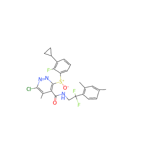 Cc1ccc(C(F)(F)CNC(=O)c2c([S+]([O-])c3cccc(C4CC4)c3F)nnc(Cl)c2C)c(C)c1